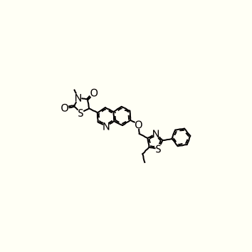 CCc1sc(-c2ccccc2)nc1COc1ccc2cc(C3SC(=O)N(C)C3=O)cnc2c1